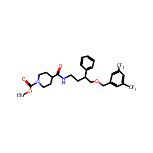 CC(C)(C)OC(=O)N1CCC(C(=O)NCCC(COCc2cc(C(F)(F)F)cc(C(F)(F)F)c2)c2ccccc2)CC1